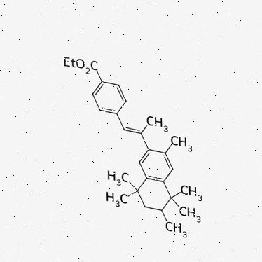 CCOC(=O)c1ccc(C=C(C)c2cc3c(cc2C)C(C)(C)C(C)CC3(C)C)cc1